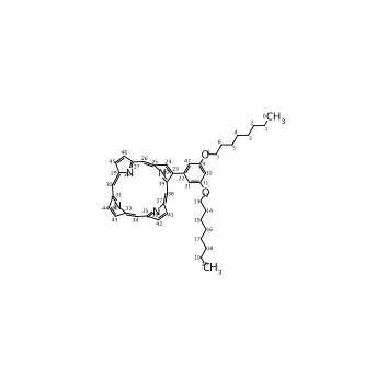 CCCCCCCCOc1cc(OCCCCCCCC)cc(C2=CC3=CC4=NC(=CC5=NC(=CC6=NC(=CC2=N3)C=C6)C=C5)C=C4)c1